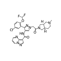 CN1CC[C@@H]2CN(C(=O)Cn3cc(NC(=O)c4cnn5cccnc45)c(-c4cc(Cl)ccc4OC(F)F)n3)C[C@H]2C1